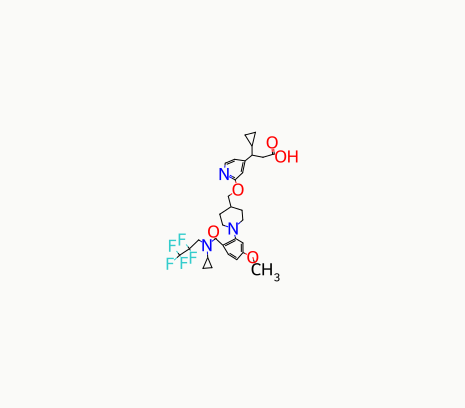 COc1ccc(C(=O)N(CC(F)(F)C(F)(F)F)C2CC2)c(N2CCC(COc3cc(C(CC(=O)O)C4CC4)ccn3)CC2)c1